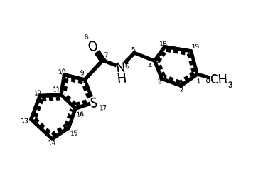 Cc1ccc(CNC(=O)c2cc3ccccc3s2)cc1